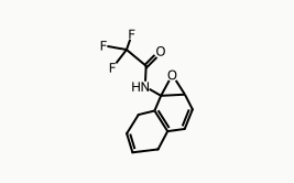 O=C(NC12OC1C=CC1=C2CC=CC1)C(F)(F)F